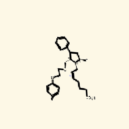 O=C(O)CCC/C=C\C[C@@H]1[C@H](F)CC(c2ccccc2)[C@H]1COCCOc1ccc(F)cc1